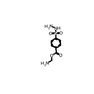 NCOC(=O)c1ccc(S(=O)(=O)NN)cc1